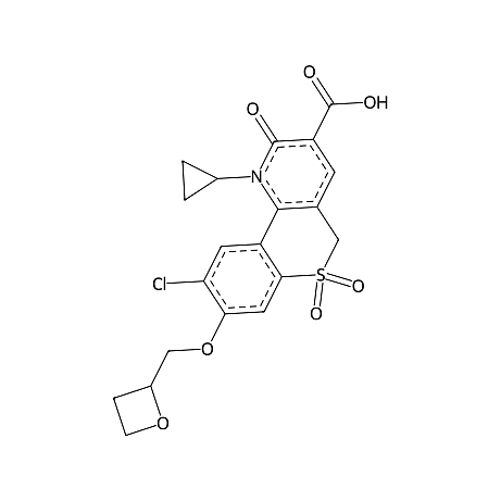 O=C(O)c1cc2c(n(C3CC3)c1=O)-c1cc(Cl)c(OCC3CCO3)cc1S(=O)(=O)C2